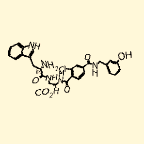 N[C@H](Cc1c[nH]c2ccccc12)C(=O)NC[C@H](NC(=O)c1ccc(C(=O)NCc2cccc(O)c2)cc1Cl)C(=O)O